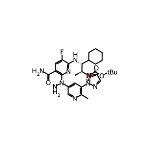 Cc1ncc(N(N)c2nc(N[C@H](C3CCCCC3)[C@H](C)NC(=O)OC(C)(C)C)c(F)cc2C(N)=O)cc1-n1nccn1